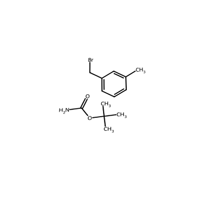 CC(C)(C)OC(N)=O.Cc1cccc(CBr)c1